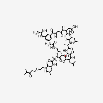 CC[C@H](NC(=O)[C@H](C)NC(=O)[C@H](CC(C)C)NC(=O)[C@H](CC(=O)O)NC(=O)CNC(=O)c1cccc(NC(=N)N)c1)C(=O)N[C@@H](CC(C)C)C(=O)N[C@@H](CCCNC(N)=O)C(=O)NC(C)(C)C(=O)N[C@@H](CC(C)C)C(=O)NCCOCCC(=O)C(C)C